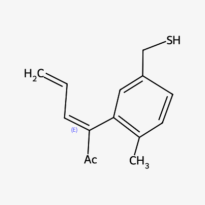 C=C/C=C(/C(C)=O)c1cc(CS)ccc1C